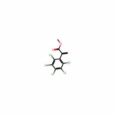 C=C(C(=O)OC)c1c(Cl)c(Cl)c(Cl)c(Cl)c1Cl